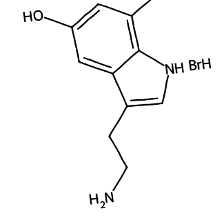 Br.NCCc1c[nH]c2c(O)cc(O)cc12